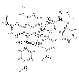 COc1ccc(N(CC(=O)N2CCCC2c2ccccc2)S(=O)(=O)c2ccc(OC)cc2C(C(=O)O)N(c2ccc(OC)cc2)S(=O)(=O)c2ccc(OC)cc2)cc1